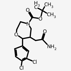 CC(C)(C)OC(=O)N1CCOC(c2ccc(Cl)c(Cl)c2)C(CC(N)=O)C1